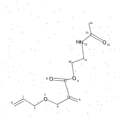 C=CCOCC(=C)C(=O)OCCNC(C)=O